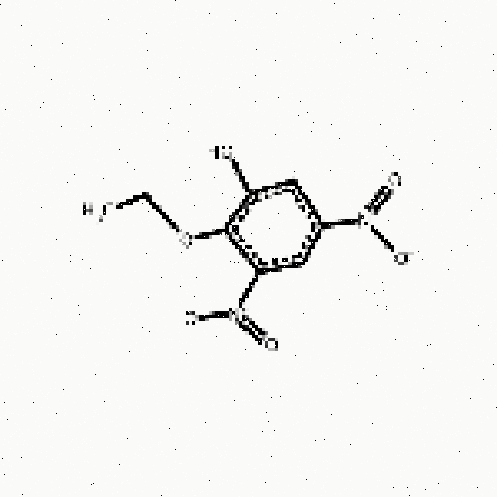 CCOc1c(O)cc([N+](=O)[O-])cc1[N+](=O)[O-]